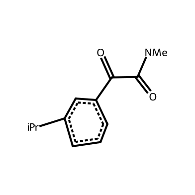 CNC(=O)C(=O)c1cccc(C(C)C)c1